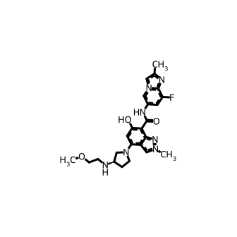 COCCN[C@@H]1CCN(c2cc(O)c(C(=O)Nc3cc(F)c4nc(C)cn4c3)c3nn(C)cc23)C1